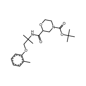 Cc1ccccc1OCC(C)(C)NC(=O)C1CN(C(=O)OC(C)(C)C)CCO1